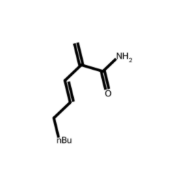 C=C(C=CCCCCC)C(N)=O